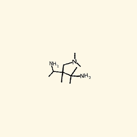 CC(N)C(C)(CN(C)C)C(C)(C)N